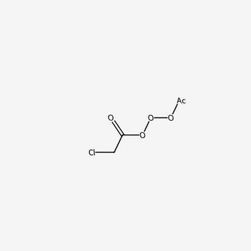 CC(=O)OOOC(=O)CCl